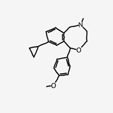 COc1ccc(C2OCCN(C)Cc3ccc(C4CC4)cc32)cc1